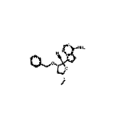 CC[C@@H]1C[C@@H](OCc2ccccc2)C(C#N)(c2ccc3c(N)ncnn23)O1